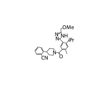 COCc1nnc(-c2cc(C(=O)N3CCC(c4ccccc4C#N)CC3)c(C)cc2C(C)C)[nH]1